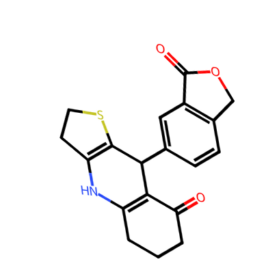 O=C1CCCC2=C1C(c1ccc3c(c1)C(=O)OC3)C1=C(CCS1)N2